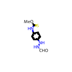 COC(=S)Nc1ccc(NNC=O)cc1